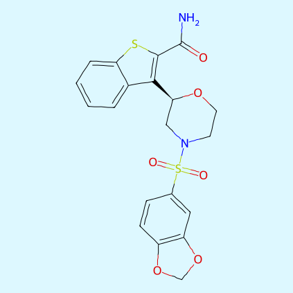 NC(=O)c1sc2ccccc2c1[C@@H]1CN(S(=O)(=O)c2ccc3c(c2)OCO3)CCO1